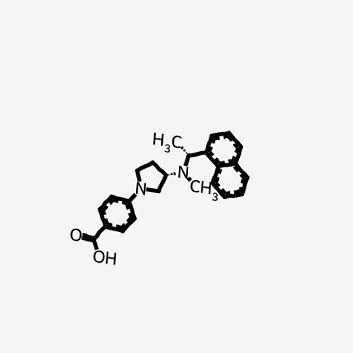 C[C@H](c1cccc2ccccc12)N(C)[C@H]1CCN(c2ccc(C(=O)O)cc2)C1